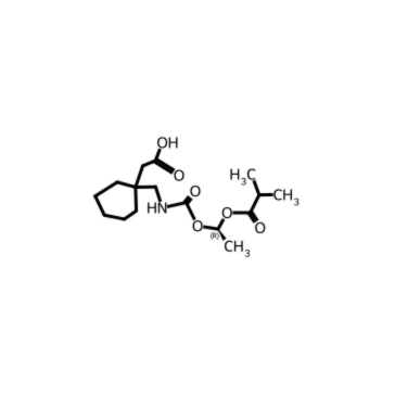 CC(C)C(=O)O[C@@H](C)OC(=O)NCC1(CC(=O)O)CCCCC1